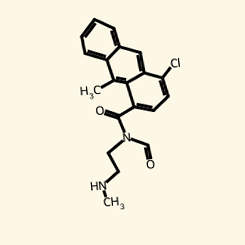 CNCCN(C=O)C(=O)c1ccc(Cl)c2cc3ccccc3c(C)c12